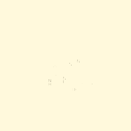 O=C(Nc1ccccc1)Nc1nn(Cc2ccccc2)cc1C(=O)O